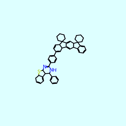 C1=CCC2SC3N=C(c4ccc(C5=CC6C7=CC8c9ccccc9C9(CCCCC9)C8C=C7C7(CCCCC7)C6C=C5)cc4)NC(c4ccccc4)C3C2=C1